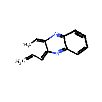 C=C/C=c1/nc2ccccc2n/c1=C/C